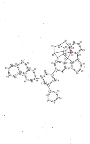 c1ccc(-c2nc(-c3ccc(C4(C56CC7CC(CC(C7)C5)C6)c5ccccc5-c5ccccc54)cc3)nc(-c3ccc4c(ccc5ccccc54)c3)n2)cc1